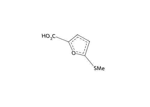 CSc1ccc(C(=O)O)o1